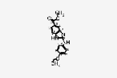 CCOc1ccc(Nc2nc3cc(C(=O)OC)ccc3[nH]2)cc1